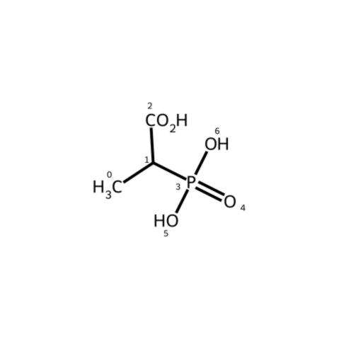 CC(C(=O)O)P(=O)(O)O